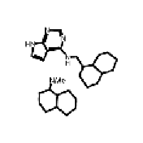 CNC1CCCC2CCCCC21.c1nc(NCC2CCCC3CCCCC32)c2cc[nH]c2n1